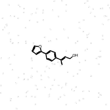 CC(=CCO)c1ccc(-c2ccco2)cc1